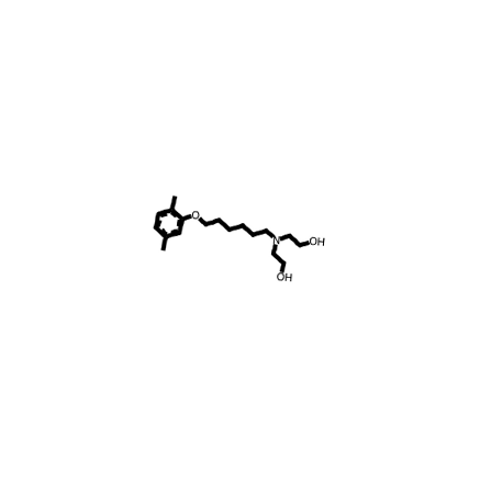 Cc1ccc(C)c(OCCCCCCN(CCO)CCO)c1